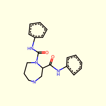 O=C(Nc1ccccc1)C1C[N]CCCN1C(=O)Nc1ccccc1